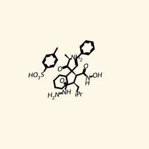 CC(C)C[C@@H](C(=O)NN)[C@H](C(=O)NO)C(/C=C/c1ccccc1)(C(=O)[C@@H](C)N)C1CCCCC1.Cc1ccc(S(=O)(=O)O)cc1